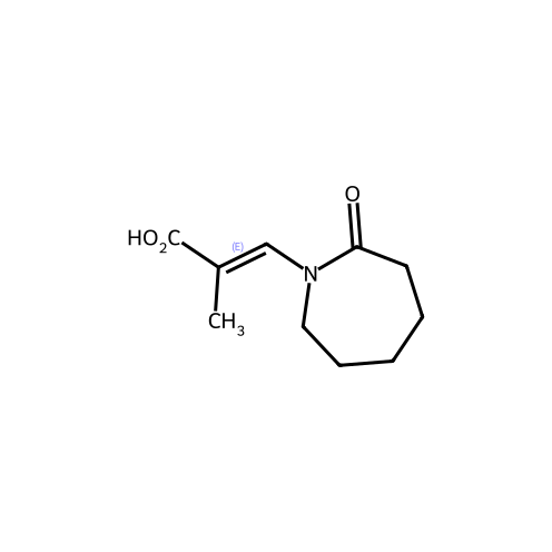 C/C(=C\N1CCCCCC1=O)C(=O)O